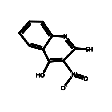 O=[N+]([O-])c1c(S)nc2ccccc2c1O